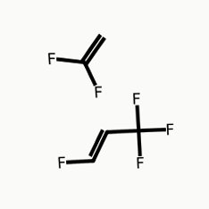 C=C(F)F.FC=CC(F)(F)F